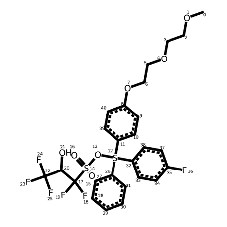 COCCOCCOc1ccc(S(OS(=O)(=O)C(F)(F)C(O)C(F)(F)F)(c2ccccc2)c2ccc(F)cc2)cc1